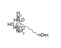 CCCCCCCCCCCCCCCCCCC(C(=O)O)(C(=O)NN)C(=O)NN